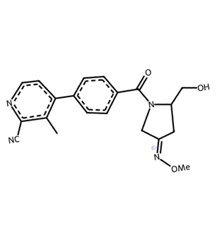 CO/N=C1\CC(CO)N(C(=O)c2ccc(-c3ccnc(C#N)c3C)cc2)C1